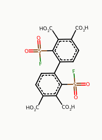 O=C(O)c1ccc(-c2ccc(C(=O)O)c(C(=O)O)c2S(=O)(=O)F)c(S(=O)(=O)F)c1C(=O)O